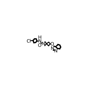 O=C(Nc1ccc(Cl)cc1)N1CC2(CC(Oc3ncnc4ccccc34)C2)C1